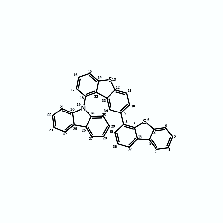 c1ccc2c(c1)sc1c(-c3ccc4sc5cccc(-n6c7ccccc7c7ccccc76)c5c4c3)cccc12